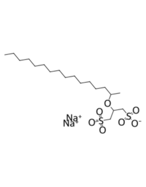 CCCCCCCCCCCCCCC(C)OC(CS(=O)(=O)[O-])CS(=O)(=O)[O-].[Na+].[Na+]